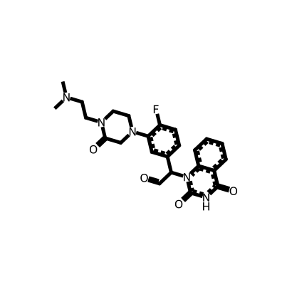 CN(C)CCN1CCN(c2cc(C(C=O)n3c(=O)[nH]c(=O)c4ccccc43)ccc2F)CC1=O